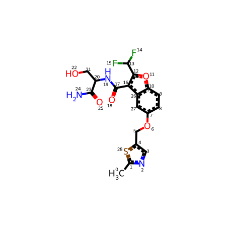 Cc1ncc(COc2ccc3oc(C(F)F)c(C(=O)NC(CO)C(N)=O)c3c2)s1